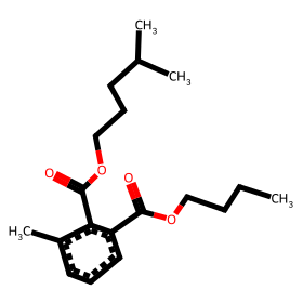 CCCCOC(=O)c1cccc(C)c1C(=O)OCCCC(C)C